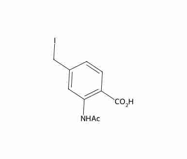 CC(=O)Nc1cc(CI)ccc1C(=O)O